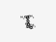 Cc1cn(-c2ccc(N3CC(C)O[C@H](C)C3)cc2)c(=O)c2cccc(-c3ccccc3)c12